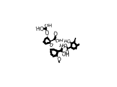 COc1ccccc1C(=O)O.COc1ccccc1C(=O)O.Cc1ccc(C(=O)O)c(O)c1C.O=C(O)O